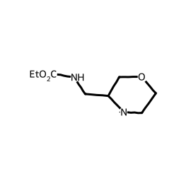 CCOC(=O)NCC1COCC[N]1